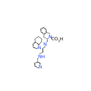 O=C(O)N1Cc2ccccc2C[C@@H]1CN(C/C=C/CNCc1cccnc1)[C@H]1CCCc2cccnc21